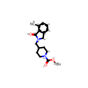 CC(C)(C)OC(=O)N1CCC(CN2Cc3cccc(C#N)c3C2=O)CC1